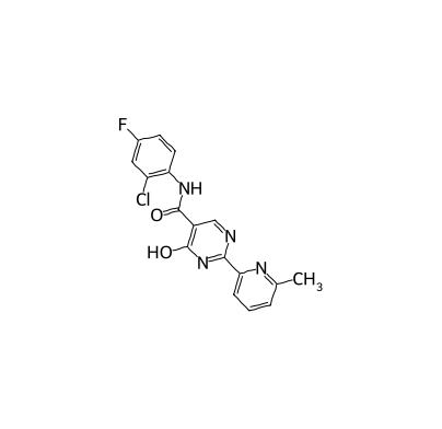 Cc1cccc(-c2ncc(C(=O)Nc3ccc(F)cc3Cl)c(O)n2)n1